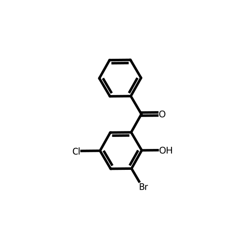 O=C(c1ccccc1)c1cc(Cl)cc(Br)c1O